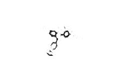 COc1ccc(CNc2cc(Br)ccc2C(=O)C2CCN(c3ncccn3)CC2)c(OC)c1